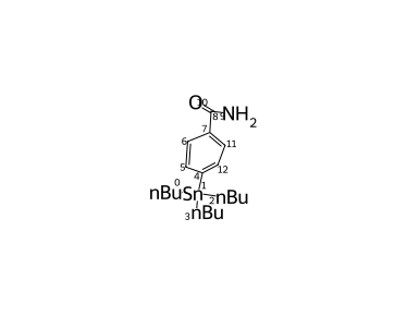 CCC[CH2][Sn]([CH2]CCC)([CH2]CCC)[c]1ccc(C(N)=O)cc1